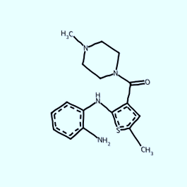 Cc1cc(C(=O)N2CCN(C)CC2)c(Nc2ccccc2N)s1